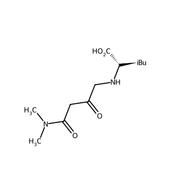 CC[C@H](C)[C@H](NCC(=O)CC(=O)N(C)C)C(=O)O